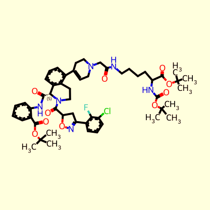 CC(C)(C)OC(=O)NC(CCCCNC(=O)CN1CC=C(c2cccc3c2CCN(C(=O)C2CC(c4cccc(Cl)c4F)=NO2)[C@@H]3C(=O)Nc2ccccc2C(=O)OC(C)(C)C)CC1)C(=O)OC(C)(C)C